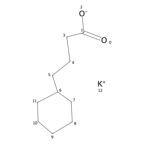 O=C([O-])CCCC1CCCCC1.[K+]